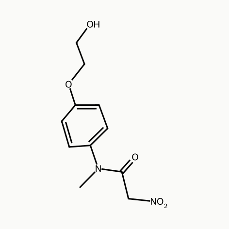 CN(C(=O)C[N+](=O)[O-])c1ccc(OCCO)cc1